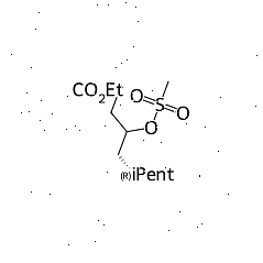 CCC[C@@H](C)CC(CC(=O)OCC)OS(C)(=O)=O